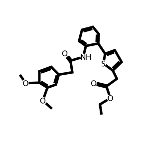 CCOC(=O)Cc1ccc(-c2ccccc2NC(=O)Cc2ccc(OC)c(OC)c2)s1